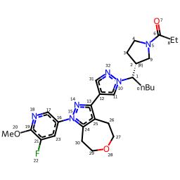 CCCCC([C@@H]1CCN(C(=O)CC)C1)n1cc(-c2nn(-c3cnc(OC)c(F)c3)c3c2CCOCC3)cn1